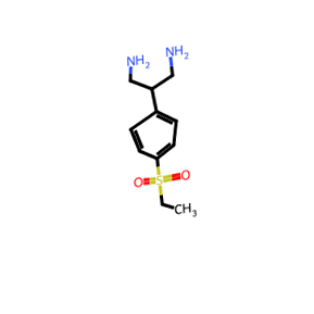 CCS(=O)(=O)c1ccc(C(CN)CN)cc1